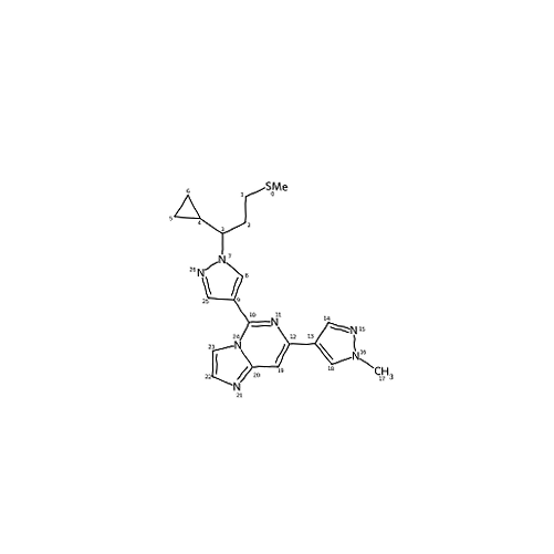 CSCCC(C1CC1)n1cc(-c2nc(-c3cnn(C)c3)cc3nccn23)cn1